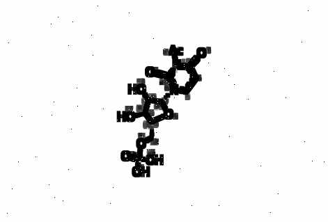 CC(=O)n1c(=O)ccn([C@@H]2O[C@H](COP(=O)(O)O)[C@@H](O)[C@H]2O)c1=O